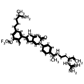 C=C[C@H](CCN[C@@H](C)c1ccc(-n2cc3cc(-c4cc(CCC[C@H](C)N)cc(OC(F)(F)F)c4F)[nH]c3nc2=O)cc1)NC(=N)N